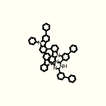 c1ccc(-c2cccc(C3N=C(n4c5ccccc5c5ccccc54)N=C(c4ccc(-c5ccccc5)cc4-n4c5ccccc5c5c(-c6cccc7c6c6ccc(-c8ccccc8)cc6n7-c6ccccc6)cccc54)N3)c2)cc1